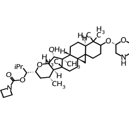 CC(C)C(OC(=O)N1CCC1)[C@H]1C[C@@H](C)[C@H]2[C@H](O1)[C@H](O)[C@@]1(C)[C@@H]3CC[C@H]4C(C)(C)C(O[C@H]5CNCCO5)CCC45C[C@@]35CC[C@]21C